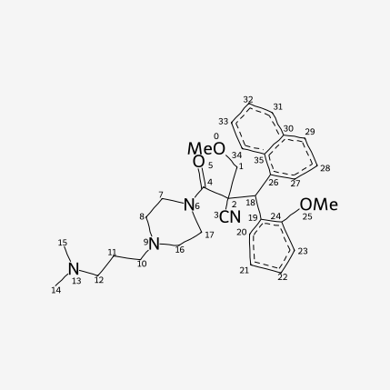 COCC(C#N)(C(=O)N1CCN(CCCN(C)C)CC1)C(c1ccccc1OC)c1cccc2ccccc12